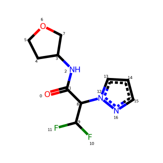 O=C(NC1CCOC1)C(C(F)F)n1cccn1